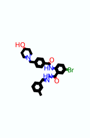 Cc1cccc(C=NNC(=O)c2cc(Br)ccc2NC(=O)c2ccc(CN3CCC(O)CC3)cc2)c1